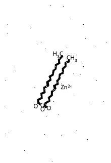 CCCCCCCCCCC=CCCCCCC(=O)[O-].CCCCCCCCCCC=CCCCCCC(=O)[O-].[Zn+2]